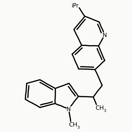 CC(C)c1cnc2cc(CC(C)c3cc4ccccc4n3C)ccc2c1